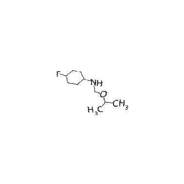 CC(C)OCNC1CCC(F)CC1